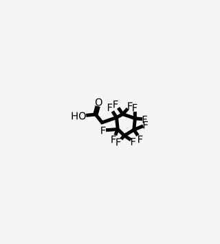 O=C(O)CC1(F)C(F)(F)C(F)(F)C(F)(F)C(F)(F)C1(F)F